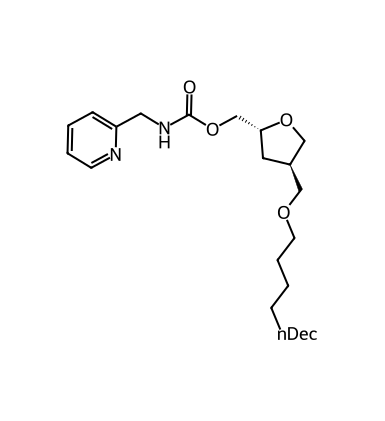 CCCCCCCCCCCCCCOC[C@@H]1CO[C@@H](COC(=O)NCc2ccccn2)C1